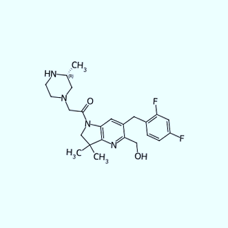 C[C@@H]1CN(CC(=O)N2CC(C)(C)c3nc(CO)c(Cc4ccc(F)cc4F)cc32)CCN1